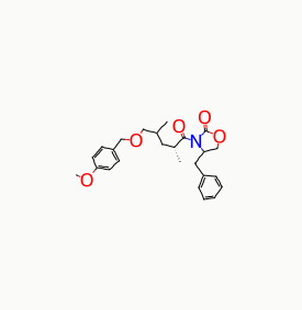 COc1ccc(COCC(C)C[C@@H](C)C(=O)N2C(=O)OCC2Cc2ccccc2)cc1